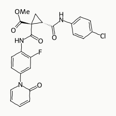 COC(=O)[C@@]1(C(=O)Nc2ccc(-n3ccccc3=O)cc2F)C[C@@H]1C(=O)Nc1ccc(Cl)cc1